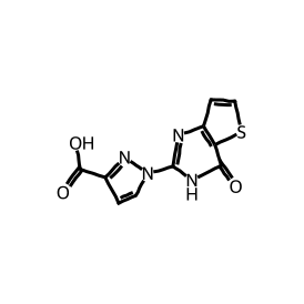 O=C(O)c1ccn(-c2nc3ccsc3c(=O)[nH]2)n1